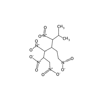 CC(C)C(C(CC[N+](=O)[O-])[C](C(C[N+](=O)[O-])[N+](=O)[O-])[N+](=O)[O-])[N+](=O)[O-]